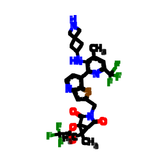 Cc1cc(C(F)(F)F)nc(-c2ccnc3cc(CN4C(=O)C5C(C)(C)C5(OC(=O)C(F)(F)F)C4=O)sc23)c1NC1CC2(CNC2)C1